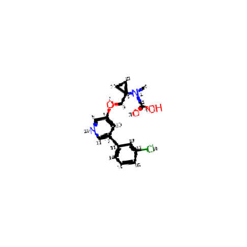 CN(C(=O)O)C1(COc2cncc(-c3cccc(Cl)c3)c2)CC1